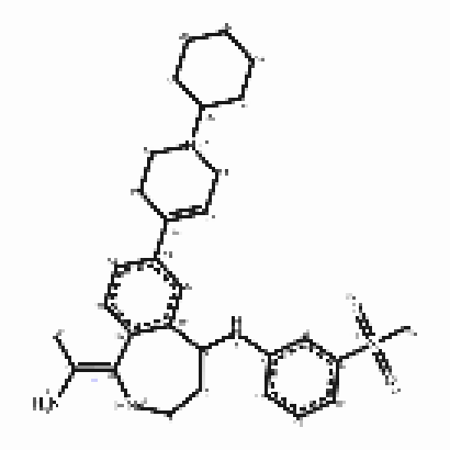 C/C(N)=C1/NCCC(Nc2cccc(S(C)(=O)=O)c2)c2cc(C3=CCN(C4CCCCC4)CC3)ccc21